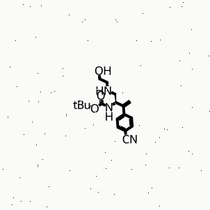 C=C(c1ccc(C#N)cc1)[C@H](CNCCO)NC(=O)OC(C)(C)C